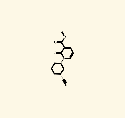 COC(=O)c1cccn([C@H]2CCC[C@@H](C#N)C2)c1=O